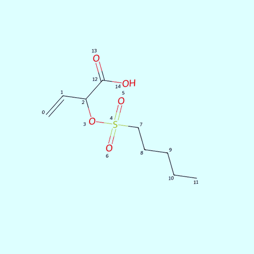 C=CC(OS(=O)(=O)CCCCC)C(=O)O